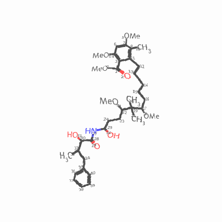 COC(=O)c1c(OC)cc(OC)c(C)c1CCCCCC(OC)C(C)(C)C(CCC(O)NC(=O)C(O)C(C)Cc1ccccc1)OC